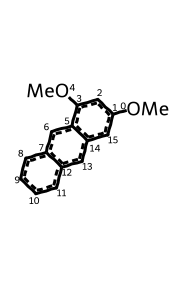 COc1cc(OC)c2cc3ccccc3cc2c1